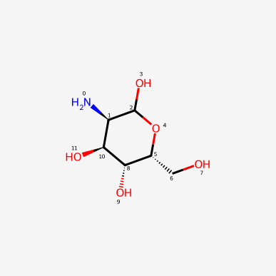 N[C@H]1C(O)O[C@H](CO)[C@H](O)[C@H]1O